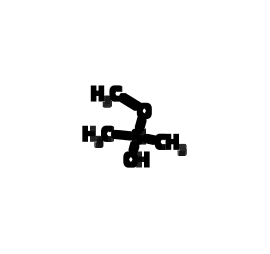 CO[Si](C)(C)O